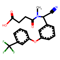 CN(C(=O)CCC(=O)O)C(C#N)c1cccc(Oc2cccc(C(F)(F)F)c2)c1